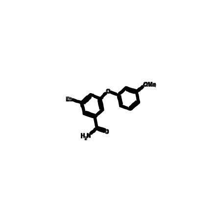 CCc1cc(Oc2cccc(OC)c2)cc(C(N)=O)c1